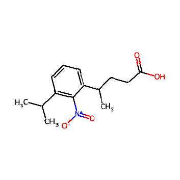 CC(C)c1cccc(C(C)CCC(=O)O)c1[N+](=O)[O-]